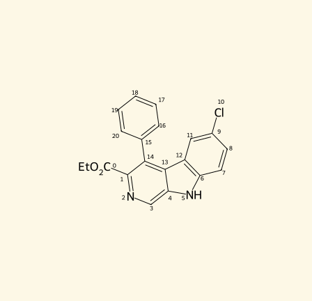 CCOC(=O)c1ncc2[nH]c3ccc(Cl)cc3c2c1-c1ccccc1